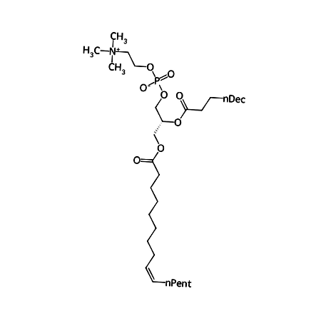 CCCCC/C=C\CCCCCCCC(=O)OC[C@H](COP(=O)([O-])OCC[N+](C)(C)C)OC(=O)CCCCCCCCCCCC